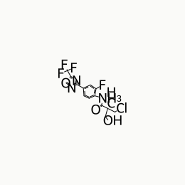 CC(CO)(CCl)C(=O)Nc1ccc(-c2noc(C(F)(F)F)n2)cc1F